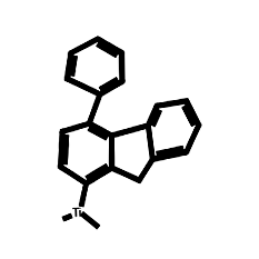 [CH3][Ti]([CH3])[c]1ccc(-c2ccccc2)c2c1Cc1ccccc1-2